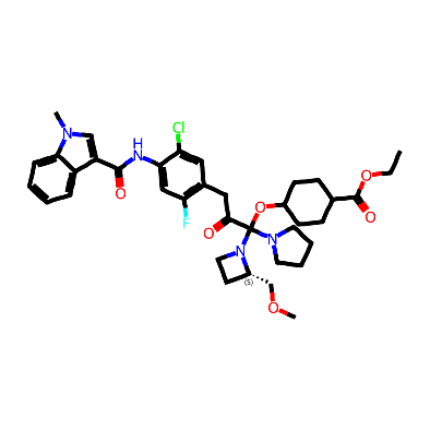 CCOC(=O)C1CCC(OC(C(=O)Cc2cc(Cl)c(NC(=O)c3cn(C)c4ccccc34)cc2F)(N2CCCC2)N2CC[C@H]2COC)CC1